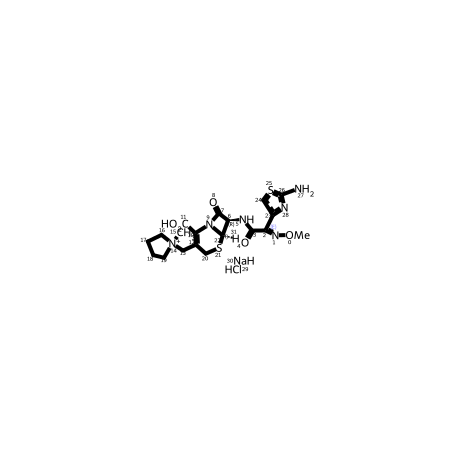 CO/N=C(/C(=O)N[C@@H]1C(=O)N2C(C(=O)O)=C(C[N+]3(C)CCCC3)CS[C@H]12)c1csc(N)n1.Cl.[NaH]